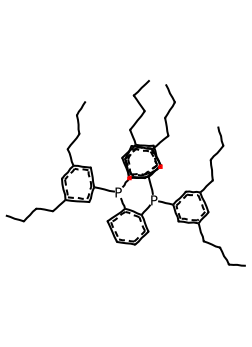 CCCCc1cccc(P(c2cc(CCCC)cc(CCCC)c2)c2ccccc2P(c2cccc(CCCC)c2)c2cc(CCCC)cc(CCCC)c2)c1